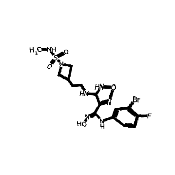 CNS(=O)(=O)N1CC(CCNC2NON=C2/C(=N/O)Nc2ccc(F)c(Br)c2)C1